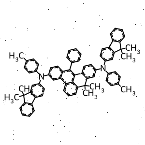 Cc1ccc(N(c2ccc3c(c2)C(C)(C)c2ccccc2-3)c2ccc3c(c2)C(C)(C)c2cccc4c2c-3c(-c2ccccc2)c2ccc(N(c3ccc(C)cc3)c3ccc5c(c3)C(C)(C)c3ccccc3-5)cc24)cc1